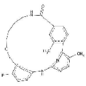 Cc1cc2ccc1-c1nc(ncc1C)Nc1ccc(F)c(c1)COCCCCNC2=O